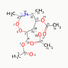 CC(=O)OCC1OO/C(C)=N\[C@H](C)C(OC(C)=O)[C@@H]1OC(C)=O